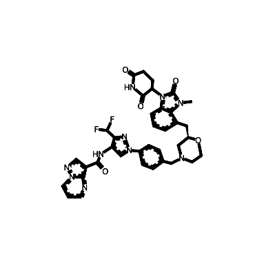 Cn1c(=O)n(C2CCC(=O)NC2=O)c2cccc(C[C@@H]3CN(Cc4ccc(-n5cc(NC(=O)c6cnn7cccnc67)c(C(F)F)n5)cc4)CCO3)c21